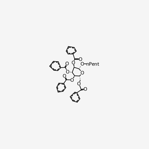 CCCCCO[C@@H]1O[C@H](COC(=O)c2ccccc2)[C@@H](OC(=O)c2ccccc2)[C@H](OC(=O)c2ccccc2)[C@H]1OC(=O)c1ccccc1